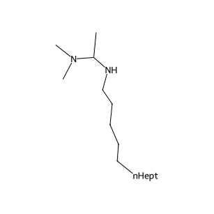 CCCCCCCCCCCCNC(C)N(C)C